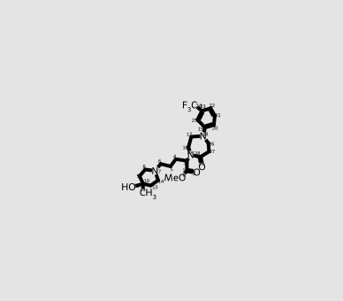 COC(=O)C(CCCN1CCC(C)(O)CC1)N1CCN(c2cccc(C(F)(F)F)c2)CCC1=O